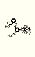 CCOc1cc(COc2ccccc2CC(=O)O)cc(B2OC(C)(C)C(C)(C)O2)c1